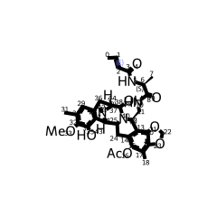 C/C=C/C(=O)N[C@@H](C)C(=O)NC[C@H]1c2c(c(OC(C)=O)c(C)c3c2OCO3)CC2[C@H]3c4c(cc(C)c(OC)c4O)C[C@H](C(O)N21)N3C